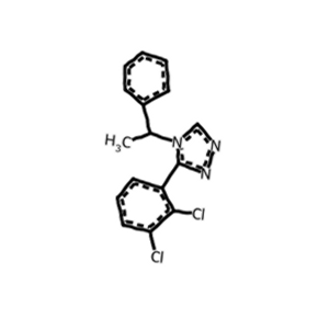 CC(c1ccccc1)n1cnnc1-c1cccc(Cl)c1Cl